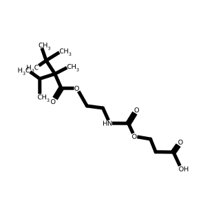 CC(C)C(C)(C(=O)OCCNC(=O)OCCC(=O)O)C(C)(C)C